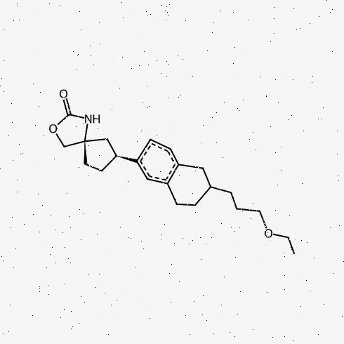 CCOCCCC1CCc2cc([C@H]3CC[C@]4(COC(=O)N4)C3)ccc2C1